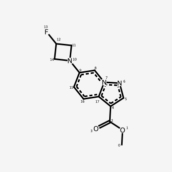 COC(=O)c1cnn2cc(N3CC(F)C3)ccc12